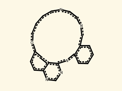 c1ccoc2ccc3ncnc(nc4ccccc4cnccnc1)c3c2